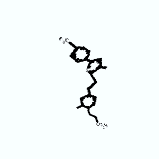 Cc1cc(CCc2sc(-c3ccc(C(F)(F)F)cc3)cc2C)ccc1CCC(=O)O